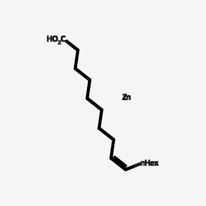 CCCCCC/C=C\CCCCCCCC(=O)O.[Zn]